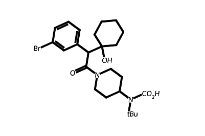 CC(C)(C)N(C(=O)O)C1CCN(C(=O)C(c2cccc(Br)c2)C2(O)CCCCC2)CC1